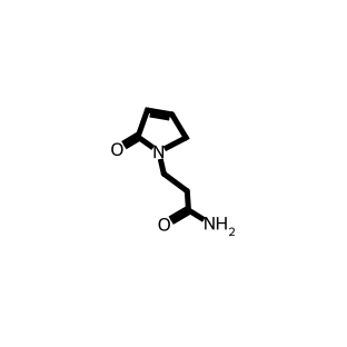 NC(=O)CCN1CC=CC1=O